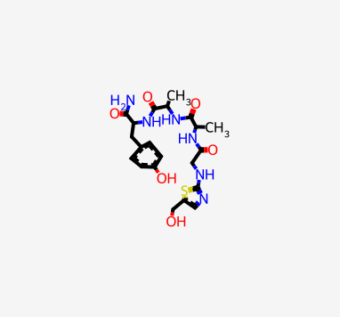 CC(NC(=O)CNc1ncc(CO)s1)C(=O)NC(C)C(=O)NC(Cc1ccc(O)cc1)C(N)=O